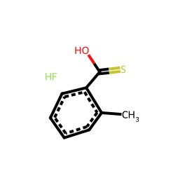 Cc1ccccc1C(O)=S.F